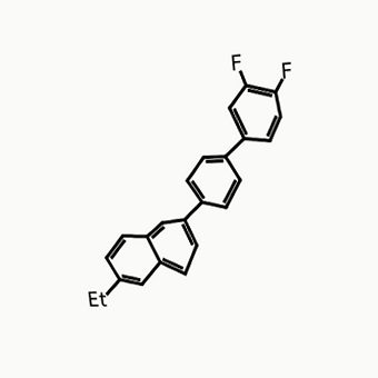 CCc1ccc2cc(-c3ccc(-c4ccc(F)c(F)c4)cc3)ccc2c1